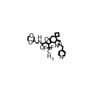 CC(F)(F)c1c(C(=O)NC[C@@H]2COCCO2)oc2c1-c1nn(Cc3ccncc3)cc1C1(CCC1)C2